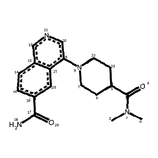 CN(C)C(=O)C1CCN(c2cncc3ccc(C(N)=O)cc23)CC1